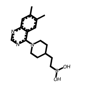 Cc1cc2ncnc(N3CCC(CCB(O)O)CC3)c2cc1C